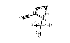 [2H]C([2H])([2H])n1cccc1C#N